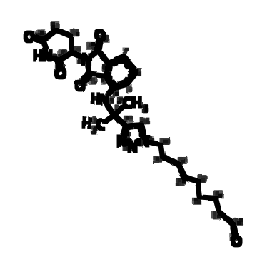 CC(C)(Nc1cccc2c1C(=O)N(C1CCC(=O)NC1=O)C2=O)c1cn(CCCCCCCCC=O)nn1